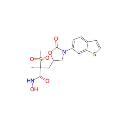 CC(CC1CN(c2ccc3ccsc3c2)C(=O)O1)(C(=O)NO)S(C)(=O)=O